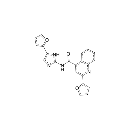 O=C(Nc1ncc(-c2ccco2)[nH]1)c1cc(-c2ccco2)nc2ccccc12